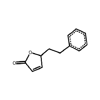 O=C1C=CC(CCc2ccccc2)O1